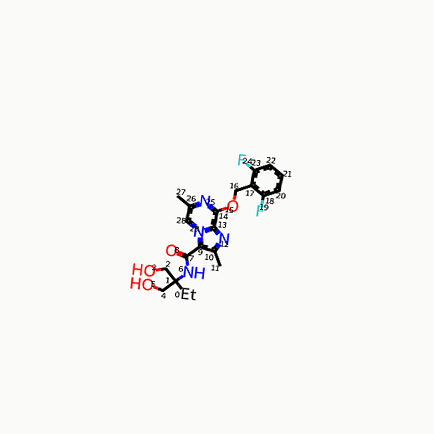 CCC(CO)(CO)NC(=O)c1c(C)nc2c(OCc3c(F)cccc3F)nc(C)cn12